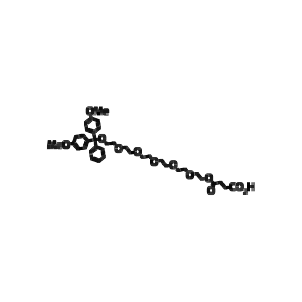 COc1ccc(C(OCCOCCOCCOCCOCCOCCOC(=O)CCC(=O)O)(c2ccccc2)c2ccc(OC)cc2)cc1